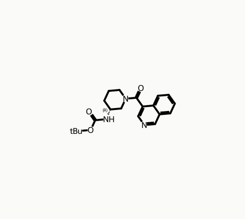 CC(C)(C)OC(=O)N[C@@H]1CCCN(C(=O)c2cncc3ccccc23)C1